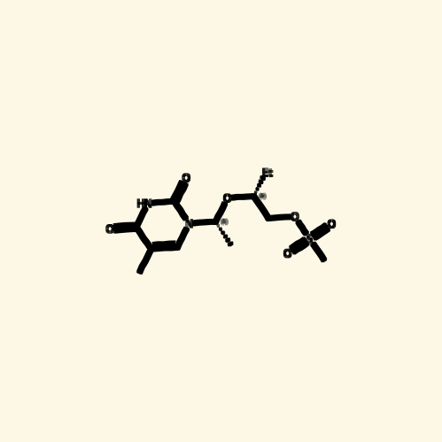 CC[C@H](COS(C)(=O)=O)O[C@H](C)n1cc(C)c(=O)[nH]c1=O